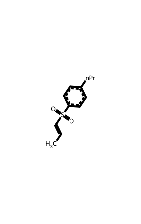 C/C=C/S(=O)(=O)c1ccc(CCC)cc1